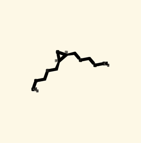 COCOC[C@@H]1O[C@@H]1COCOC